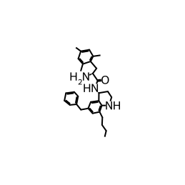 CCCCc1cc(Cc2ccccc2)cc2c1NCC[C@H]2NC(=O)[C@@H](N)Cc1c(C)cc(C)cc1C